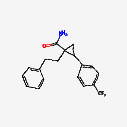 NC(=O)C1(CCc2ccccc2)CC1c1ccc(C(F)(F)F)cc1